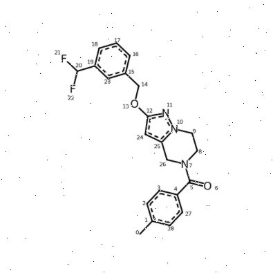 Cc1ccc(C(=O)N2CCn3nc(OCc4cccc(C(F)F)c4)cc3C2)cc1